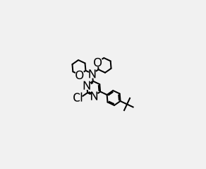 CC(C)(C)c1ccc(-c2cc(N(C3CCCCO3)C3CCCCO3)nc(Cl)n2)cc1